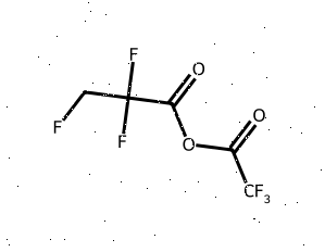 O=C(OC(=O)C(F)(F)CF)C(F)(F)F